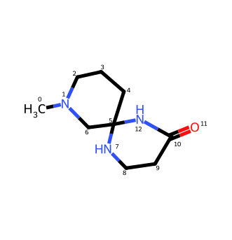 CN1CCCC2(C1)NCCC(=O)N2